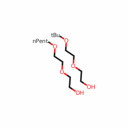 CC(C)(C)OCCOCCO.CCCCCOCCOCCO